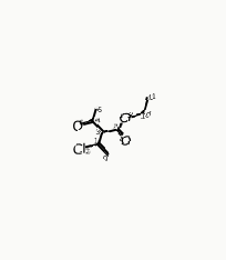 C=C(Cl)C(C(C)=O)C(=O)OCC